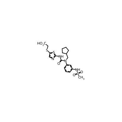 CS(=O)(=O)Nc1cccc(N(CC2CCCC2)C(=O)Nc2ncc(SCC(=O)O)s2)c1